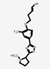 CCCC=CCCOc1ccc(-c2noc(C3CCCN3C(=O)O)n2)cc1C(F)(F)F